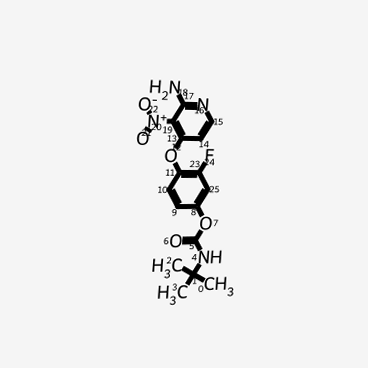 CC(C)(C)NC(=O)Oc1ccc(Oc2ccnc(N)c2[N+](=O)[O-])c(F)c1